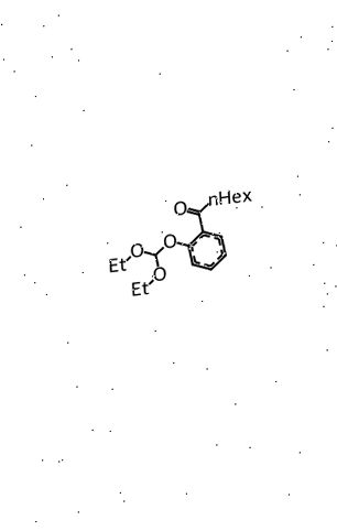 CCCCCCC(=O)c1ccccc1OC(OCC)OCC